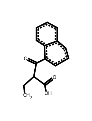 CCC(C(=O)O)C(=O)c1cccc2ccccc12